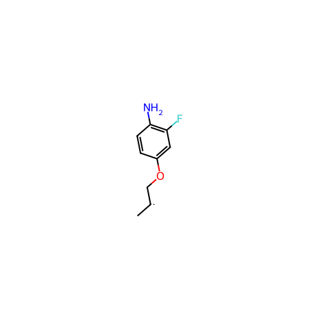 C[CH]COc1ccc(N)c(F)c1